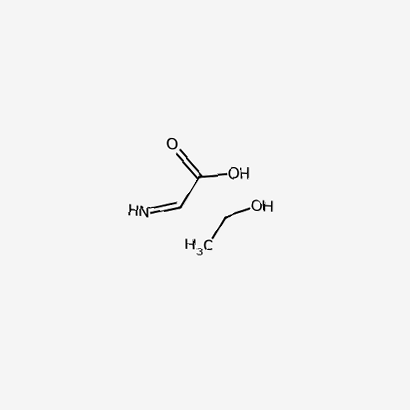 CCO.N=CC(=O)O